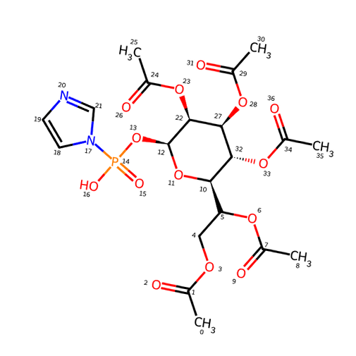 CC(=O)OCC(OC(C)=O)[C@H]1O[C@@H](OP(=O)(O)n2ccnc2)[C@@H](OC(C)=O)[C@@H](OC(C)=O)[C@@H]1OC(C)=O